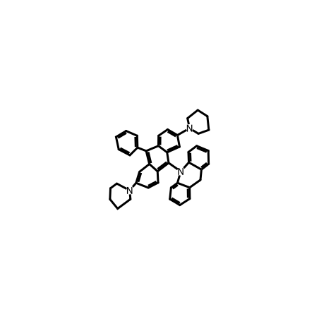 c1ccc(-c2c3cc(N4CCCCC4)ccc3c(N3c4ccccc4Cc4ccccc43)c3cc(N4CCCCC4)ccc23)cc1